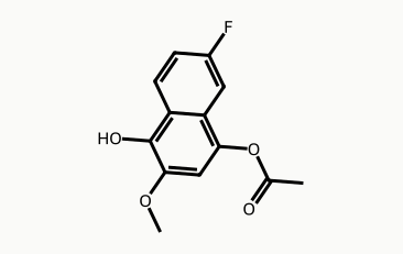 COc1cc(OC(C)=O)c2cc(F)ccc2c1O